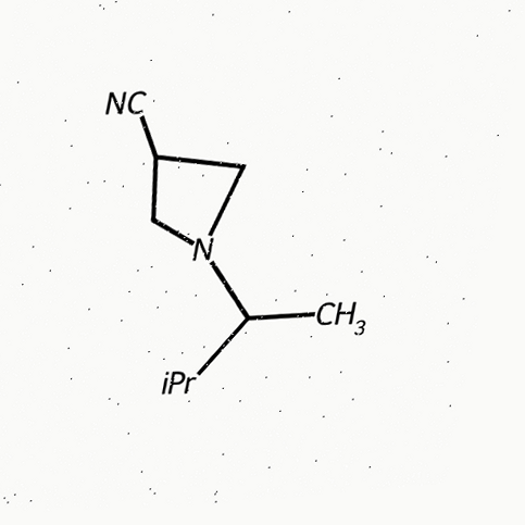 CC(C)C(C)N1CC(C#N)C1